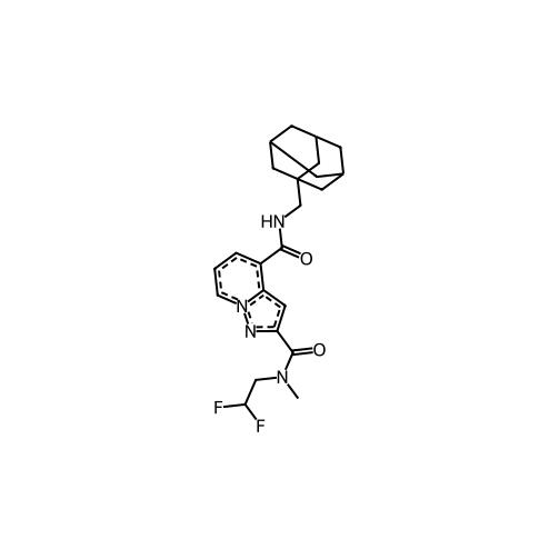 CN(CC(F)F)C(=O)c1cc2c(C(=O)NCC34CC5CC(CC(C5)C3)C4)cccn2n1